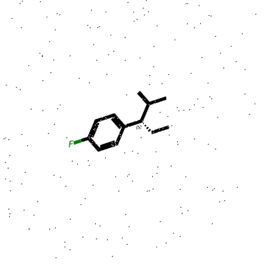 CC[C@H](c1ccc(F)cc1)C(C)C